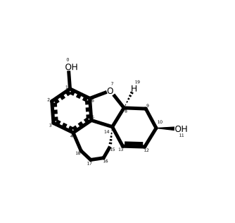 Oc1ccc2c3c1O[C@H]1C[C@@H](O)C=C[C@@]31CCCC2